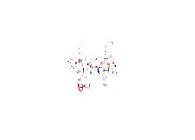 C=CCOCC1(OC2(COCC=C)CCOC2=CN)CCOC1=C.C=CCOCC1(OC2(COCC=C)CCOC2=CN)CCOC1=C.O=S(=O)(O)O